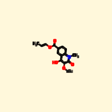 CC=COC(=O)c1ccc2c(c1)c(O)c(OCCCC)c(=O)n2C